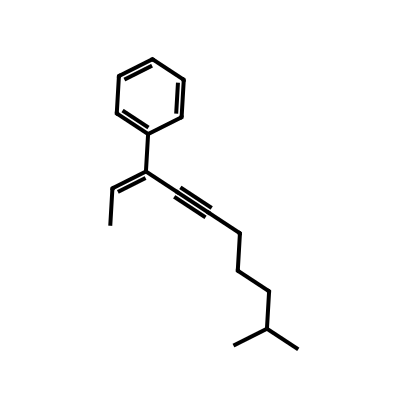 CC=C(C#CCCCC(C)C)c1ccccc1